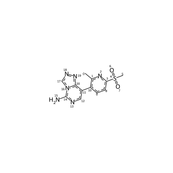 Cc1nc(S(C)(=O)=O)ccc1-c1cnc(N)n2cnnc12